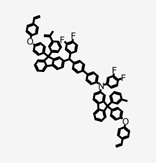 C=Cc1ccc(Oc2ccc(C3(c4cccc(C(=C)C)c4)c4ccccc4-c4ccc(C(c5ccc(-c6ccc(N(c7ccc(F)c(F)c7)c7ccc8c(c7)C(c7ccc(Oc9ccc(C=C)cc9)cc7)(c7cccc(C)c7)c7ccccc7-8)cc6)cc5)c5ccc(F)c(F)c5)cc43)cc2)cc1